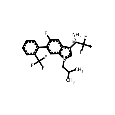 CC(C)Cn1cc([C@H](N)C(F)(F)F)c2cc(F)c(-c3ccccc3C(F)(F)F)cc21